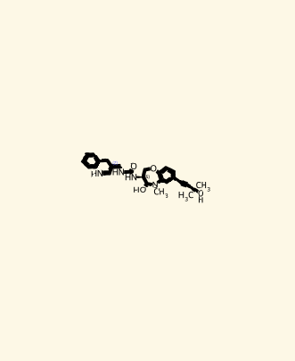 CN1c2cc(C#CC(C)(C)O)ccc2OC[C@H](NC(=O)N/C=C(\C=N)Cc2ccccc2)C1O